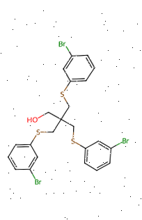 OCC(CSc1cccc(Br)c1)(CSc1cccc(Br)c1)CSc1cccc(Br)c1